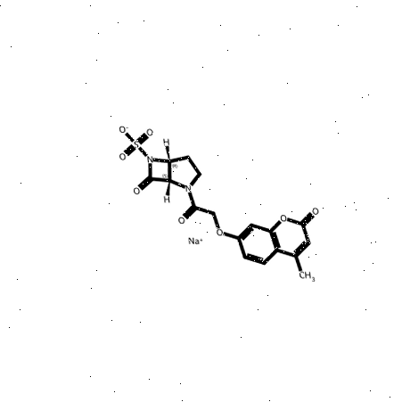 Cc1cc(=O)oc2cc(OCC(=O)N3CC[C@@H]4[C@H]3C(=O)N4S(=O)(=O)[O-])ccc12.[Na+]